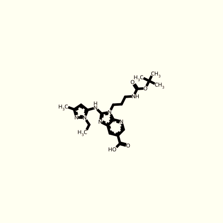 CCn1nc(C)cc1Nc1nc2cc(C(=O)O)cnc2n1CCCNC(=O)OC(C)(C)C